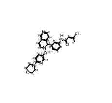 C/C(F)=C\C(=O)Nc1cccc(C2c3ccncc3C=CN2Nc2ccc(N3CCOCC3)nc2)c1